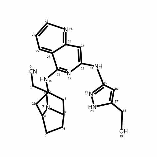 N#CCCN1C2CCC1CC(Nc1nc(Nc3cc(CO)[nH]n3)cc3ncccc13)C2